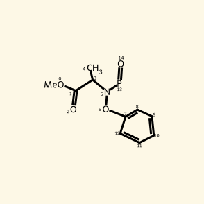 COC(=O)C(C)N(Oc1ccccc1)P=O